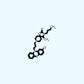 C=C1N(CCCC)C(=O)OC12CCN(CCCN1c3ccccc3Sc3ccc(Cl)cc31)CC2